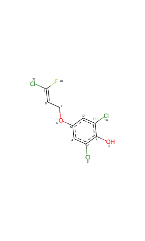 Oc1c(Cl)cc(OC/C=C(\F)Cl)cc1Cl